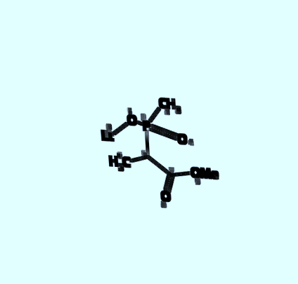 CCOP(C)(=O)C(C)C(=O)OC